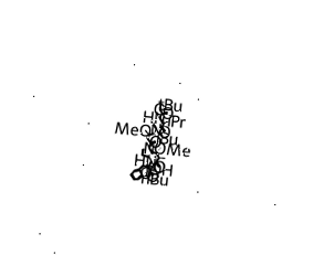 CCCCOP(=O)(O)C(Cc1ccccc1)NC(=O)[C@H](C)[C@@H](OC)[C@@H]1CCCN1C(=O)C[C@@H](OC)[C@H]([C@@H](C)CC)N(C)C(=O)[C@@H](NC(=O)OC(C)(C)C)C(C)C